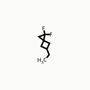 CCC1CC2(C1)CC2(F)F